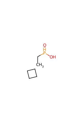 C1CCC1.CC[PH](=O)O